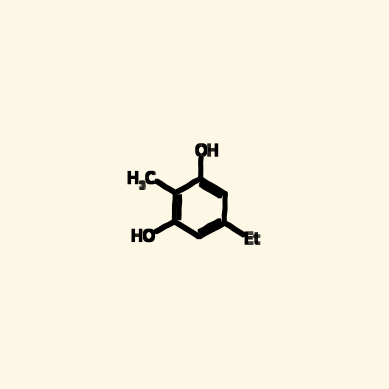 CCc1cc(O)c(C)c(O)c1